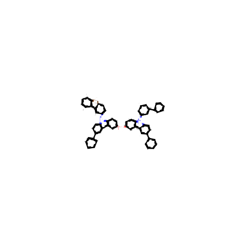 c1ccc(-c2cccc(-n3c4ccc(Oc5ccc6c(c5)c5cc(-c7ccccc7)ccc5n6-c5ccc6sc7ccccc7c6c5)cc4c4cc(-c5ccccc5)ccc43)c2)cc1